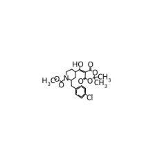 COC(=O)N1CCC(C(O)=C2C(=O)OC(C)(C)OC2=O)CC1Cc1ccc(Cl)cc1